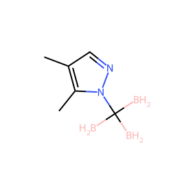 BC(B)(B)n1ncc(C)c1C